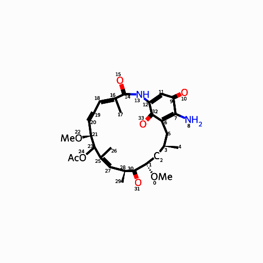 CO[C@H]1C[C@H](C)CC2=C(N)C(=O)C=C(NC(=O)/C(C)=C/C=C\[C@H](OC)C(OC(C)=O)/C(C)=C/[C@H](C)C1=O)C2=O